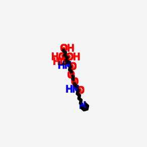 O=C(CCCCCN1CCCCC1)NCCOCCOCCC(=O)NCC(O)C(O)C(O)CCO